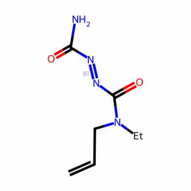 C=CCN(CC)C(=O)/N=N/C(N)=O